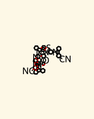 N#Cc1ccc2c(c1)c1ccccc1n2-c1ccc2c(c1)Sc1ccccc1N2c1ccc2c(c1)Oc1cccc(-n3c4ccccc4c4cc(C#N)ccc43)c1C21c2cc(-n3c4ccccc4c4ccccc43)cnc2-c2ncc(-n3c4ccccc4c4ccccc43)cc21